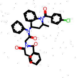 CC1CC(N(C(=O)CN2C(=O)CC34CC=CC=C3C=CC=C4C2=O)c2ccccc2)c2ccccc2N1C(=O)c1ccc(Cl)cc1